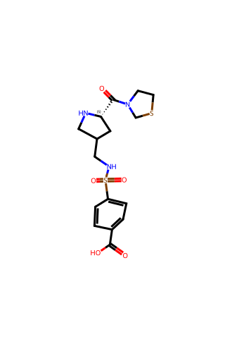 O=C(O)c1ccc(S(=O)(=O)NCC2CN[C@H](C(=O)N3CCSC3)C2)cc1